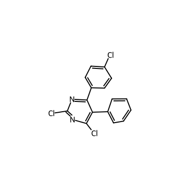 Clc1ccc(-c2nc(Cl)nc(Cl)c2-c2ccccc2)cc1